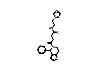 O=C(CCC(=O)N1CCc2sccc2C1c1ccccc1)NCCn1cncn1